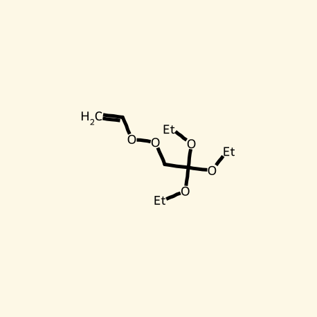 C=COOCC(OCC)(OCC)OCC